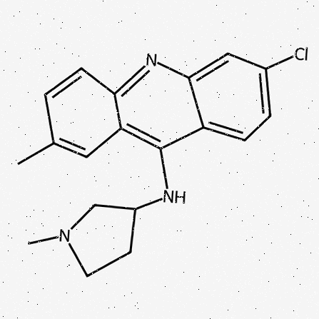 Cc1ccc2nc3cc(Cl)ccc3c(NC3CCN(C)C3)c2c1